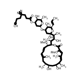 C#CCCC1(CCC(=O)O[C@H]2C[C@@H](O[C@@H]3C[C@](O)([C@@H](C)[C@H](O)[C@H](C)[C@H]4OC(=O)/C(OC)=C/C(C)=C/[C@@H](C)[C@@H](O)C[C@@H](O)[C@H](C)C/C(C)=C/C=C/[C@@H]4OC)O[C@H](/C=C/C)[C@H]3C)O[C@@H](C)[C@@H]2O)N=N1